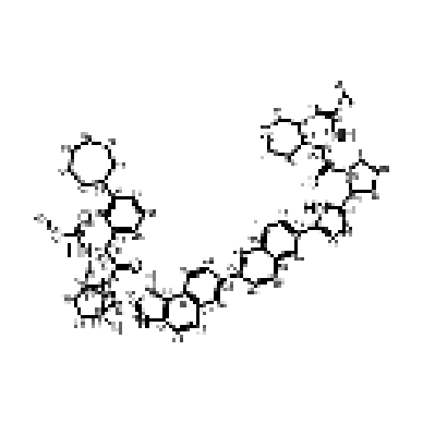 COC(=O)N[C@H](C(=O)N1CCC[C@H]1c1ncc(-c2ccc3cc(-c4ccc5c(ccc6nc([C@@H]7[C@H]8CC[C@H](C8)N7C(=O)[C@H](NC(=O)OC)c7cccc(C8CCCCCC8)c7)[nH]c65)c4)ccc3c2)[nH]1)C1CCOCC1